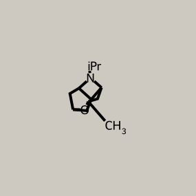 CC1CC2C3CC(CC3N2C(C)C)O1